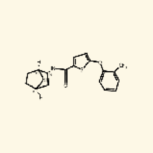 O=C(N[C@@H]1C[C@H]2CC[C@@H]1N2)c1ccc(Oc2ccccc2C(F)(F)F)s1